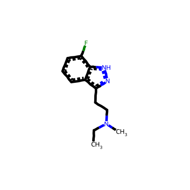 CCN(C)CCc1n[nH]c2c(F)cccc12